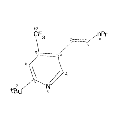 CCC/C=C/c1cnc(C(C)(C)C)cc1C(F)(F)F